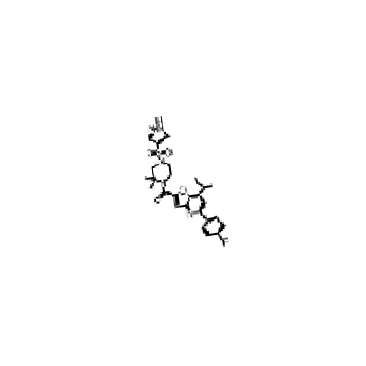 CC(C)c1cc(-c2ccc(F)cc2)nc2cc(C(=O)N3CCN(S(=O)(=O)c4cn[nH]c4)CC3(C)C)oc12